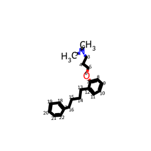 CN(C)CCCOc1ccccc1CCCCc1ccccc1